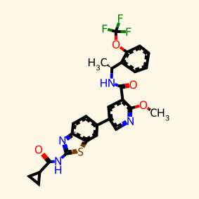 COc1ncc(-c2ccc3nc(NC(=O)C4CC4)sc3c2)cc1C(=O)N[C@H](C)c1ccccc1OC(F)(F)F